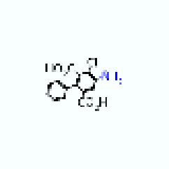 Cc1c(N)cc(C(=O)O)c(-c2ccccc2)c1C(=O)O